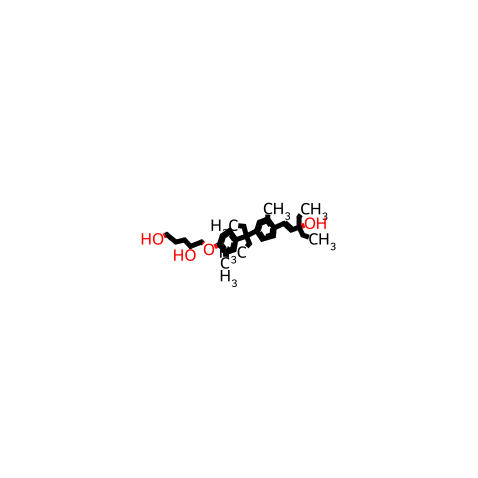 CCC(O)(C=Cc1ccc(C(CC)(CC)c2ccc(OC[C@@H](O)CCCO)c(C)c2)cc1C)CC